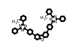 Cc1ccccc1-c1nc(-c2ccccc2)nc(-c2ccc(-c3ccc4oc5ccc(-c6ccc(-c7nc(-c8ccccc8)nc(-c8ccccc8C)n7)cc6)cc5c4c3)cc2)n1